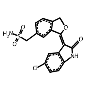 NS(=O)(=O)Cc1ccc2c(c1)/C(=C1/C(=O)Nc3ccc(Cl)cc31)OC2